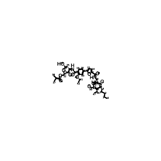 CCCCC[C@@H](C(=O)NCNC(=O)c1ccc(-c2ccc(C(=O)N[C@@H](CC(=O)O)C(=O)OCOC(=O)C(C)C)c(OCC)c2)o1)[C@@H](CC)N(O)C=O